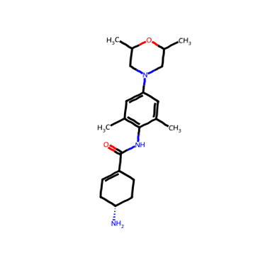 Cc1cc(N2CC(C)OC(C)C2)cc(C)c1NC(=O)C1=CC[C@@H](N)CC1